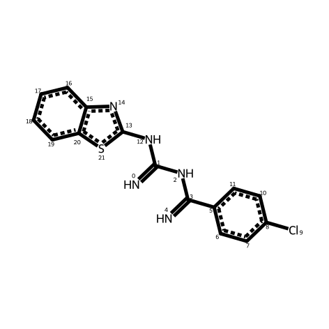 N=C(NC(=N)c1ccc(Cl)cc1)Nc1nc2ccccc2s1